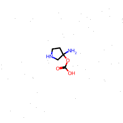 NC1(OC(=O)O)CCNC1